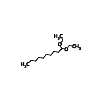 CCCCCCCCC[C](OCC)OCC